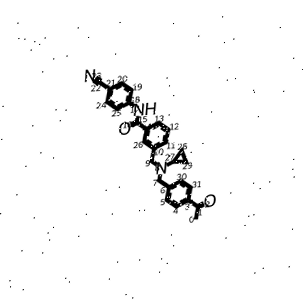 CC(=O)c1ccc(CN(Cc2cccc(C(=O)Nc3ccc(C#N)cc3)c2)C2CC2)cc1